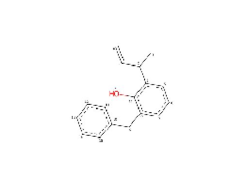 C=CC(C)c1cccc(Cc2ccccc2)c1O